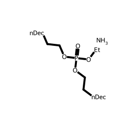 CCCCCCCCCCCCOP(=O)(OCC)OCCCCCCCCCCCC.N